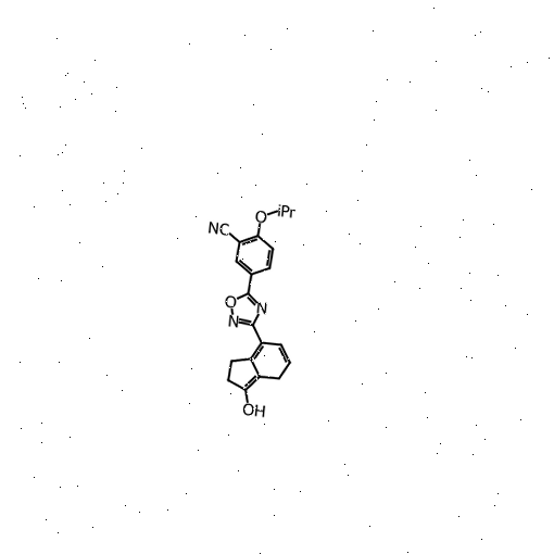 CC(C)Oc1ccc(-c2nc(C3=C4CCC(O)=C4CC=C3)no2)cc1C#N